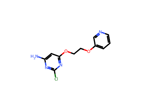 Nc1cc(OCCOc2cccnc2)nc(Cl)n1